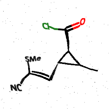 CS/C(C#N)=C\[C@H]1C(C)[C@@H]1C(=O)Cl